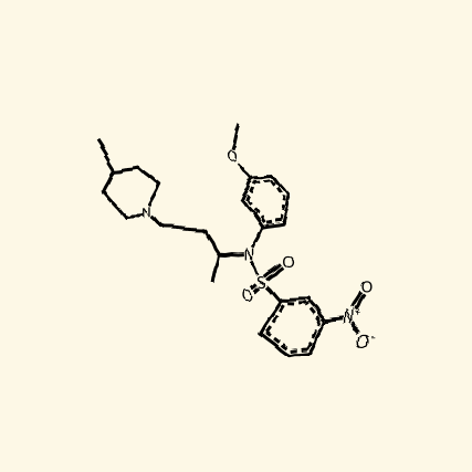 COc1cccc(N(C(C)CCN2CCC(C)CC2)S(=O)(=O)c2cccc([N+](=O)[O-])c2)c1